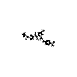 CC(C)(C)OC(=O)N1CC[C@H](NC(=O)[C@@H]2CC(O)CN2C(=O)OCc2ccc([N+](=O)[O-])cc2)C1